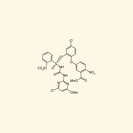 CCOC(=O)c1ccccc1S(=O)(=O)NC(=O)Nc1nc(Cl)cc(OC)n1.COC(=O)c1cc(Oc2ccc(Cl)cc2Cl)ccc1[N+](=O)[O-]